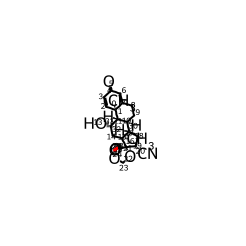 C[C@]12C=CC(=O)C=C1CC[C@@H]1[C@@H]2[C@@H](O)C[C@@]2(C)[C@H]1C[C@H](C#N)[C@@]21OCOC12COCO2